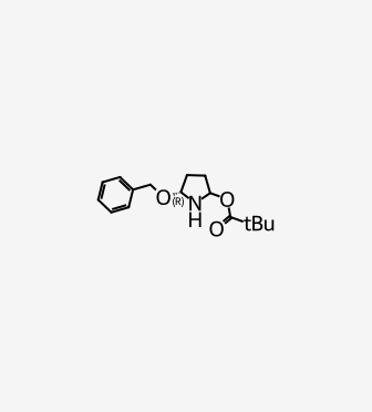 CC(C)(C)C(=O)OC1CC[C@@H](OCc2ccccc2)N1